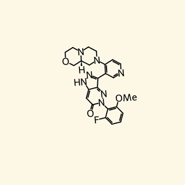 COc1cccc(F)c1-n1nc2c(-c3cnccc3N3CCN4CCOC[C@H]4C3)n[nH]c2cc1=O